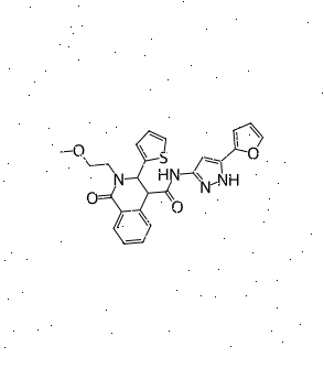 COCCN1C(=O)c2ccccc2C(C(=O)Nc2cc(-c3ccco3)[nH]n2)C1c1cccs1